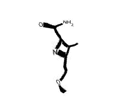 COCC1=NC(C(N)=O)=C1C